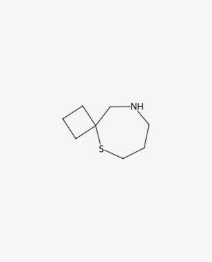 C1CNCC2(CCC2)SC1